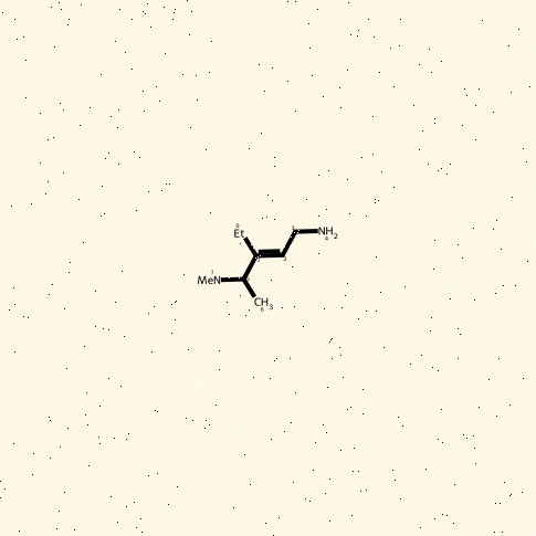 CC/C(=C\CN)C(C)NC